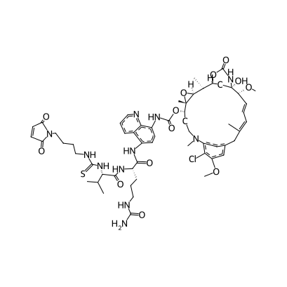 COc1cc2cc(c1Cl)N(C)CC[C@H](OC(=O)Nc1ccc(NC(=O)[C@H](CCCNC(N)=O)NC(=O)[C@@H](NC(=S)NCCCCN3C(=O)C=CC3=O)C(C)C)c3cccnc13)[C@]1(C)O[C@H]1[C@H](C)[C@@H]1C[C@@](O)(NC(=O)O1)[C@H](OC)/C=C/C=C(\C)C2